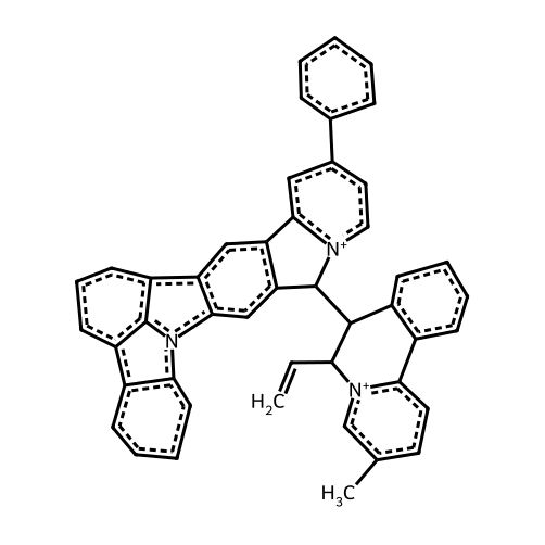 C=CC1C(C2c3cc4c(cc3-c3cc(-c5ccccc5)cc[n+]32)c2cccc3c5ccccc5n4c32)c2ccccc2-c2ccc(C)c[n+]21